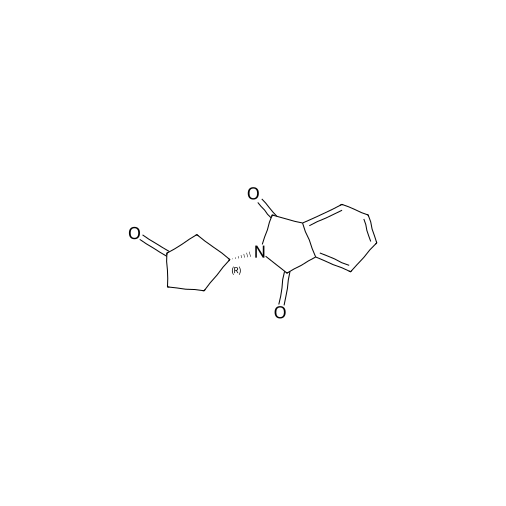 O=C1CC[C@@H](N2C(=O)c3ccccc3C2=O)C1